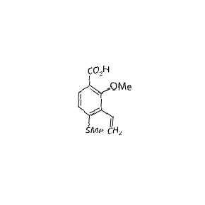 C=Cc1c(SC)ccc(C(=O)O)c1OC